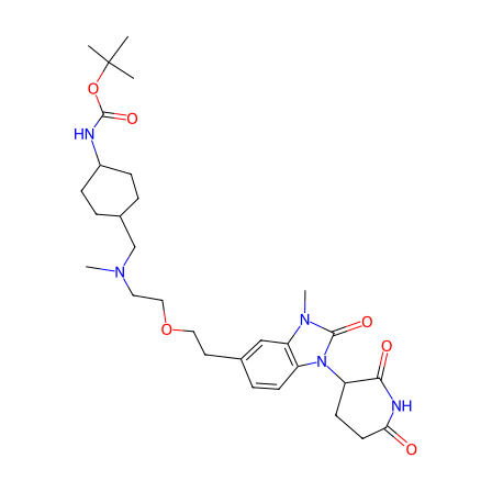 CN(CCOCCc1ccc2c(c1)n(C)c(=O)n2C1CCC(=O)NC1=O)CC1CCC(NC(=O)OC(C)(C)C)CC1